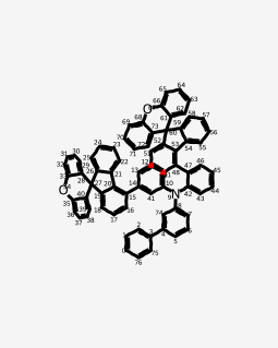 c1ccc(-c2cccc(N(c3cccc(-c4cccc5c4-c4ccccc4C54c5ccccc5Oc5ccccc54)c3)c3ccccc3-c3cccc4c3-c3ccccc3C43c4ccccc4Oc4ccccc43)c2)cc1